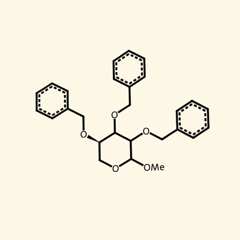 COC1OC[C@@H](OCc2ccccc2)C(OCc2ccccc2)C1OCc1ccccc1